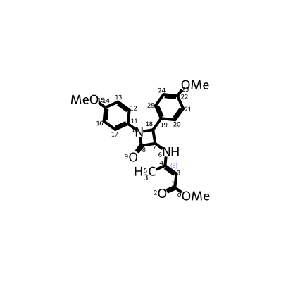 COC(=O)/C=C(\C)NC1C(=O)N(c2ccc(OC)cc2)C1c1ccc(OC)cc1